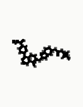 C=C(N)c1ccc(-c2cncc3c2C=CN(Cc2cn4cc(CNCC56CC5(F)C6)ccc4n2)C3=C)cc1